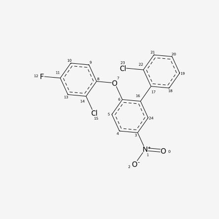 O=[N+]([O-])c1ccc(Oc2ccc(F)cc2Cl)c(-c2ccccc2Cl)c1